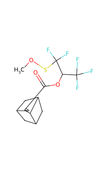 COSC(F)(F)C(OC(=O)C1=C2C3CC(C1)CC2C3)C(F)(F)F